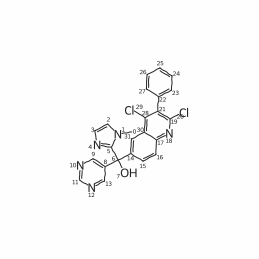 Cn1ccnc1C(O)(c1cncnc1)c1ccc2nc(Cl)c(-c3ccccc3)c(Cl)c2c1